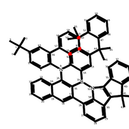 CC(C)(C)c1ccc(N2c3cc4c(cc3B3c5c(cc6ccccc6c52)-c2cccc5c6c(n3c25)-c2ccccc2C6(C)C)C(C)(C)c2ccccc2C4(C)C)c(-c2ccccc2)c1